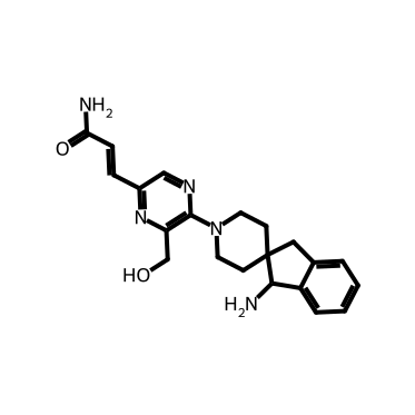 NC(=O)C=Cc1cnc(N2CCC3(CC2)Cc2ccccc2C3N)c(CO)n1